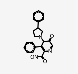 O=NC(=O)C1=C(c2ccccc2)C(N2CCC(c3ccccc3)C2)C(=O)C=N1